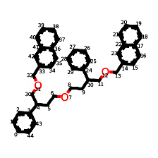 c1ccc(C(CCOCCC(COCc2ccc3ccccc3c2)c2ccccc2)COCc2ccc3ccccc3c2)cc1